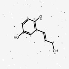 OC/C=C/c1cc(O)ccc1Cl